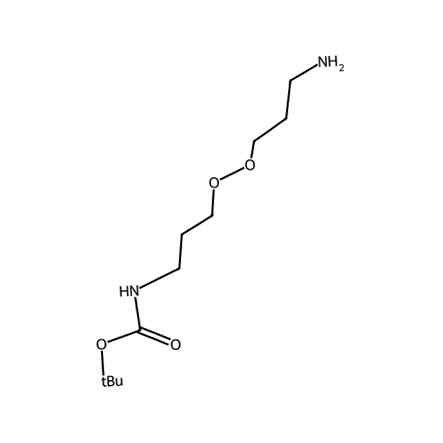 CC(C)(C)OC(=O)NCCCOOCCCN